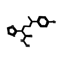 CC(CCC(C(=O)NO)c1ncco1)c1ccc(Br)cc1